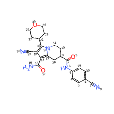 N#Cc1ccc(NC(=O)C2CCn3c(c(C(N)=O)c(C#N)c3C3CCOCC3)C2)cc1